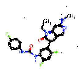 CCn1c(=O)c(-c2cc(NC(=O)Nc3ccc(F)cc3)c(F)cc2F)cc2cnc(NC)cc21